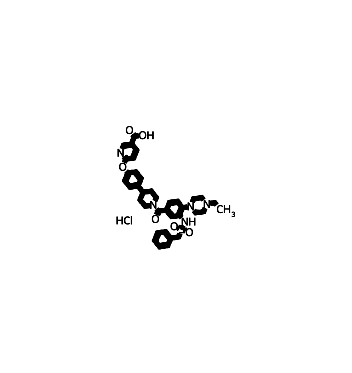 CCN1CCN(c2ccc(C(=O)N3CCC(c4ccc(Oc5ccc(C(=O)O)cn5)cc4)CC3)cc2NS(=O)(=O)Cc2ccccc2)CC1.Cl